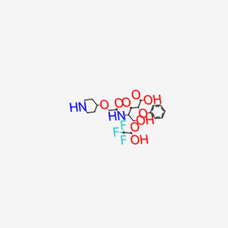 O=C(COC1CCNCC1)NC(CO)C(=O)C(Oc1ccccc1)C(=O)O.O=C(O)C(F)(F)F